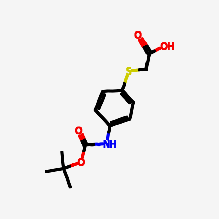 CC(C)(C)OC(=O)Nc1ccc(SCC(=O)O)cc1